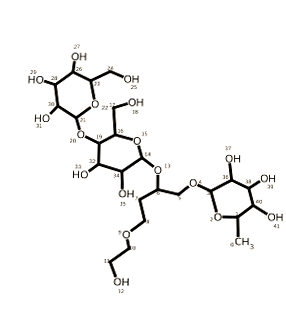 CC1OC(OCC(CCOCCO)OC2OC(CO)C(OC3OC(CO)C(O)C(O)C3O)C(O)C2O)C(O)C(O)C1O